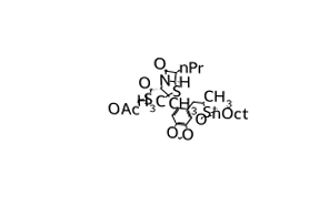 CCCCCCCC[S+]([O-])C(C)Cc1ccc2c(c1)OCO2.CCC[C@@H]1C(=O)N2[C@@H]1SC(C)(C)[C@@H]2C(=O)SCOC(C)=O